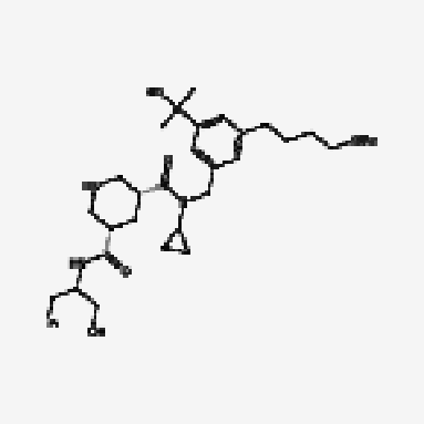 COCCCCc1cc(CN(C(=O)[C@H]2CNC[C@@H](C(=O)NC(CO)CC(C)C)C2)C2CC2)cc(C(C)(C)O)c1